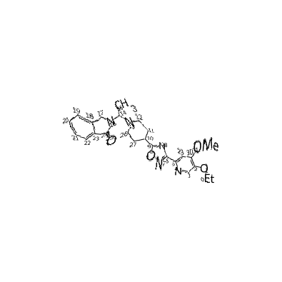 CCOc1cnc(-c2noc(C3CCN(C(C)N4Cc5ccccc5C4=O)CC3)n2)cc1OC